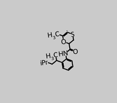 CC1=[C]SCC(C(=O)Nc2ccccc2C(C)CC(C)C)O1